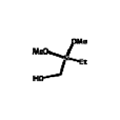 CC[Si](CO)(OC)OC